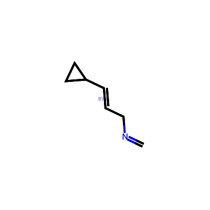 C=NC/C=C/C1CC1